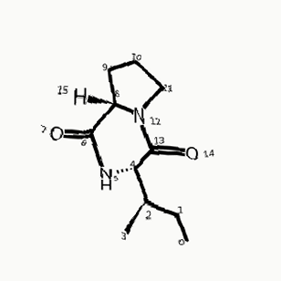 CC[C@@H](C)[C@@H]1NC(=O)[C@@H]2CCCN2C1=O